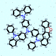 c1ccc(N(c2cccc(N(c3ccc(-n4c5ccccc5c5ccccc54)cc3)c3ccc4c5ccccc5n(-c5ccccc5)c4c3)c2)c2cccc3cc4oc5ccccc5c4cc23)cc1